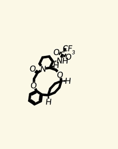 O=C1COc2ccccc2[C@H]2CC[C@H](CC2)OC[C@H]2[C@@H](NS(=O)(=O)C(F)(F)F)CCCN12